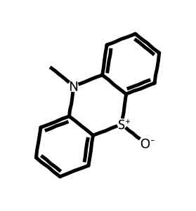 CN1c2ccccc2[S+]([O-])c2ccccc21